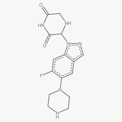 O=C1CNC(n2ncc3cc(N4CCNCC4)c(F)cc32)C(=O)N1